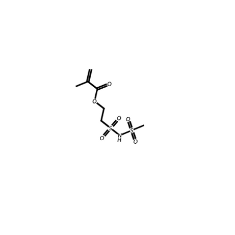 C=C(C)C(=O)OCCS(=O)(=O)NS(C)(=O)=O